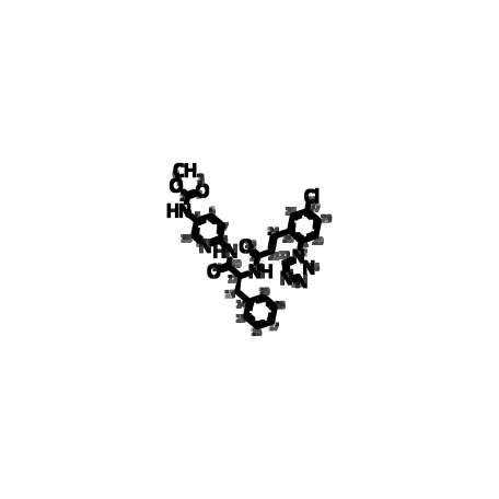 COC(=O)Nc1ccc(NC(=O)[C@H](Cc2ccccc2)NC(=O)C=Cc2cc(Cl)ccc2-n2cnnn2)nc1